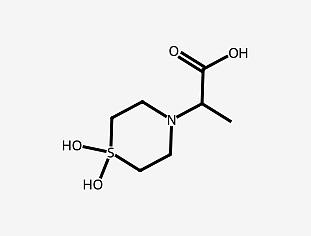 CC(C(=O)O)N1CCS(O)(O)CC1